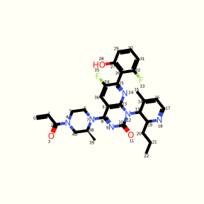 C=CC(=O)N1CCN(c2nc(=O)n(C3C(C)=CC=NC3CCC)c3nc(-c4c(O)cccc4F)c(F)cc23)[C@@H](C)C1